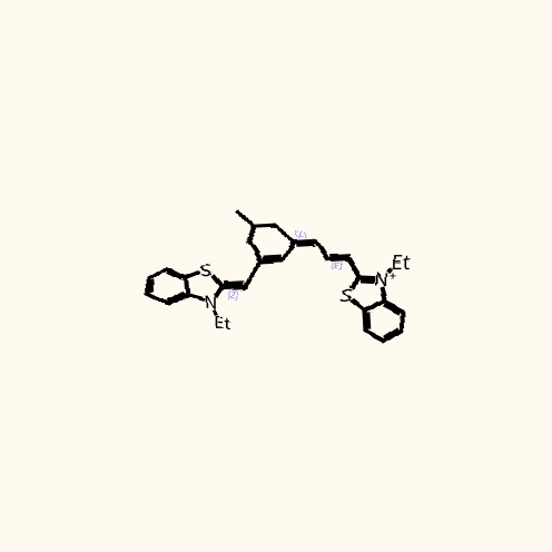 CCN1/C(=C/C2=CC(=C\C=C\c3sc4ccccc4[n+]3CC)/CC(C)C2)Sc2ccccc21